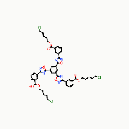 O=C(OCCCCCCl)c1cccc(-c2noc(-c3cc(-c4nc(-c5cccc(C(=O)OCCCCCCl)c5)no4)cc(-c4nc(-c5cccc(C(O)OCCCCCCl)c5)no4)c3)n2)c1